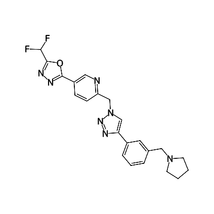 FC(F)c1nnc(-c2ccc(Cn3cc(-c4cccc(CN5CCCC5)c4)nn3)nc2)o1